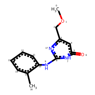 COCc1cc(=O)[nH]c(Nc2ccccc2C)n1